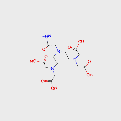 CNC(=O)CN(CCN(CC(=O)O)CC(=O)O)CCN(CC(=O)O)CC(=O)O